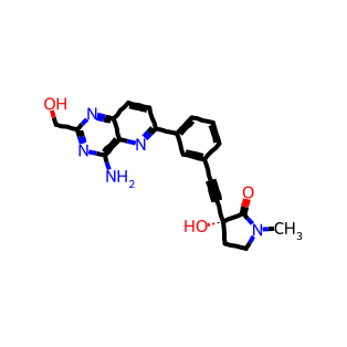 CN1CC[C@@](O)(C#Cc2cccc(-c3ccc4nc(CO)nc(N)c4n3)c2)C1=O